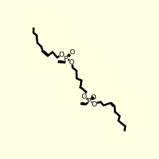 C=CP(=O)(OCC/C=C\CCCCC)OCCCCCCOP(=O)(C=C)OCC/C=C\CCCCC